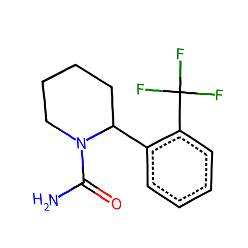 NC(=O)N1CCCCC1c1ccccc1C(F)(F)F